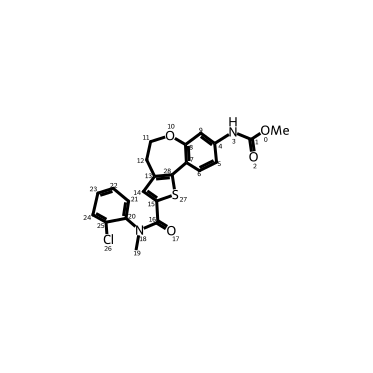 COC(=O)Nc1ccc2c(c1)OCCc1cc(C(=O)N(C)c3ccccc3Cl)sc1-2